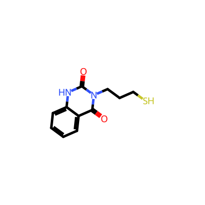 O=c1[nH]c2ccccc2c(=O)n1CCCS